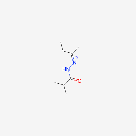 CC/C(C)=N\NC(=O)C(C)C